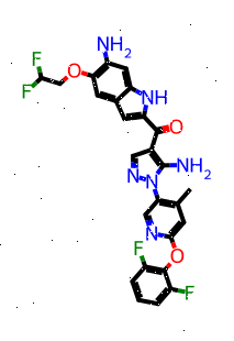 Cc1cc(Oc2c(F)cccc2F)ncc1-n1ncc(C(=O)c2cc3cc(OCC(F)F)c(N)cc3[nH]2)c1N